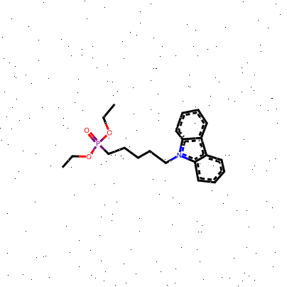 CCOP(=O)(CCCCCn1c2ccccc2c2ccccc21)OCC